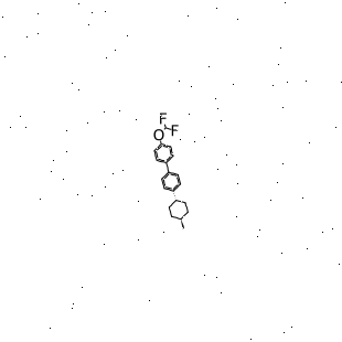 C[C@H]1CC[C@H](c2ccc(-c3ccc(OC(F)F)cc3)cc2)CC1